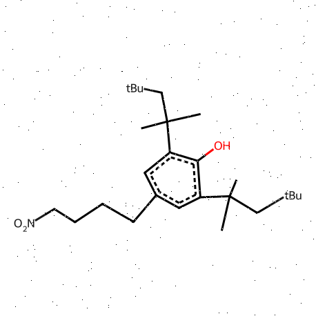 CC(C)(C)CC(C)(C)c1cc(CCCC[N+](=O)[O-])cc(C(C)(C)CC(C)(C)C)c1O